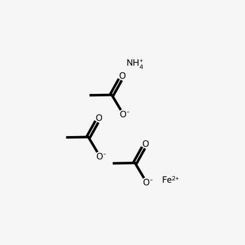 CC(=O)[O-].CC(=O)[O-].CC(=O)[O-].[Fe+2].[NH4+]